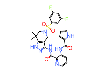 CC1(C)CN(S(=O)(=O)c2cc(F)cc(F)c2)Cc2c(NC(=O)c3ncccc3NC(=O)c3ccc[nH]3)n[nH]c21